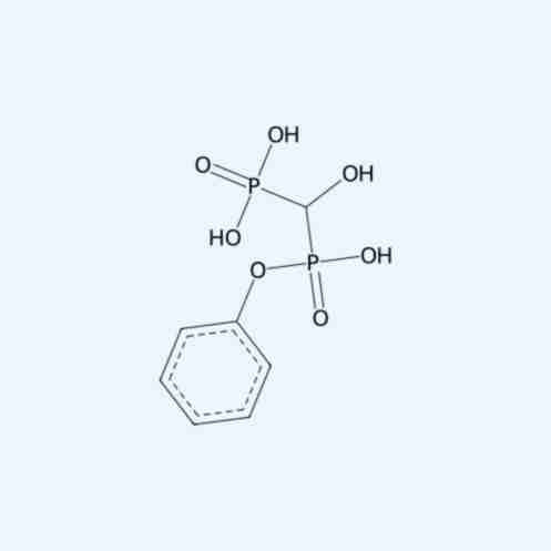 O=P(O)(O)C(O)P(=O)(O)Oc1ccccc1